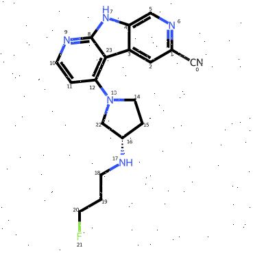 N#Cc1cc2c(cn1)[nH]c1nccc(N3CC[C@H](NCCCF)C3)c12